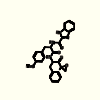 COc1ccc(CC(NC(=O)c2nc3ccccc3[nH]2)C(=O)NC(Cc2ccccc2)C(=O)C2(C)CO2)cc1